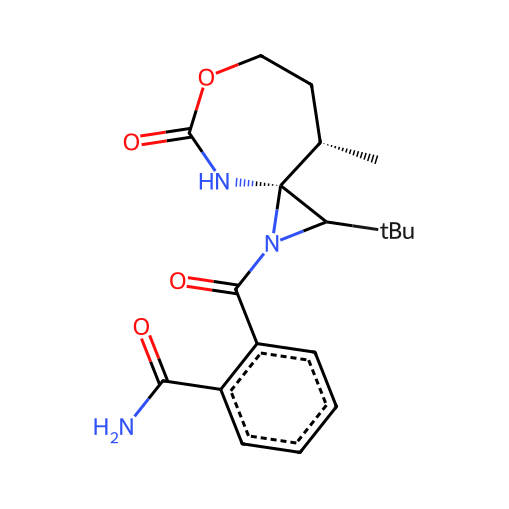 C[C@H]1CCOC(=O)N[C@@]12C(C(C)(C)C)N2C(=O)c1ccccc1C(N)=O